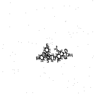 O=C(O)c1cn(C2CC2)c2cc(N3CCN(C(=S)N(c4ccc(F)cc4)S(=O)(=O)c4ccc(F)cc4)CC3)c(F)cc2c1=O